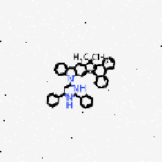 CC1(C)c2cc3c4ccccc4n(C4=CC(c5ccccc5)NC(c5ccccc5)N4)c3cc2-c2c1c1ccccc1c1ccccc21